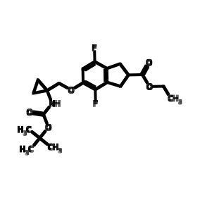 CCOC(=O)C1Cc2c(F)cc(OCC3(NC(=O)OC(C)(C)C)CC3)c(F)c2C1